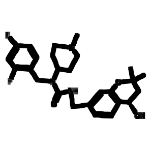 CN1CCC(N(Cc2ccc(F)cc2F)C(=O)NCc2ccc3c(c2)OC(C)(C)C[C@H]3O)CC1